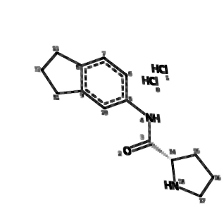 Cl.Cl.O=C(Nc1ccc2c(c1)CCC2)[C@@H]1CCCN1